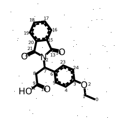 CCOc1ccc(C(CC(=O)O)N2C(=O)c3ccccc3C2=O)cc1